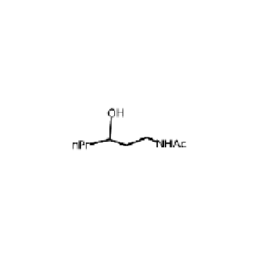 CCCC(O)CCNC(C)=O